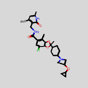 CSc1cc(C)[nH]c(=O)c1CNC(=O)c1cc(Cl)c2c(c1C)OC(C)(C1CCC(N3CC(OC4CC4)C3)CC1)O2